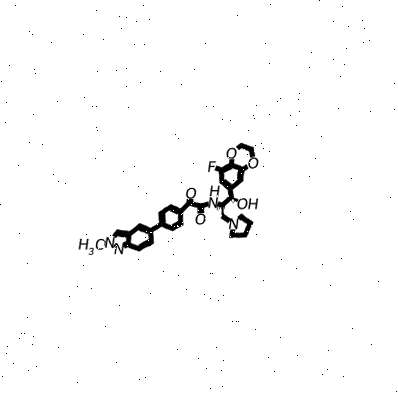 Cn1cc2cc(-c3ccc(C(=O)C(=O)N[C@H](CN4CCCC4)[C@H](O)c4cc(F)c5c(c4)OCCO5)cc3)ccc2n1